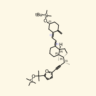 C=C1CC[C@H](O[Si](C)(C)C(C)(C)C)C/C1=C/C=C1\CCC[C@]2(C)[C@@H]([C@H](C)C#Cc3ccc(C(C)(C)O[Si](C)(C)C)o3)CC[C@@H]12